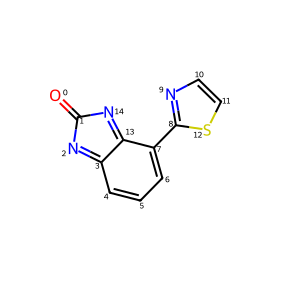 O=C1N=c2cccc(-c3nccs3)c2=N1